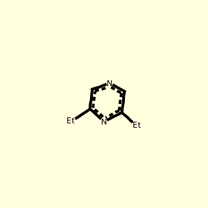 CCc1[c]ncc(CC)n1